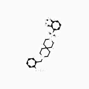 CC(C)COc1ccccc1CN1CCC2(CC1)CCN(S(=O)(=O)c1cccc3nsnc13)CC2